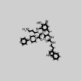 NCCCC[C@H](NC(=O)[C@@H](Cc1cc(Br)c(O)c(Br)c1)NC(=O)NCCc1c[nH]c2ccccc12)C(=O)N1CCN(c2ccncc2)CC1